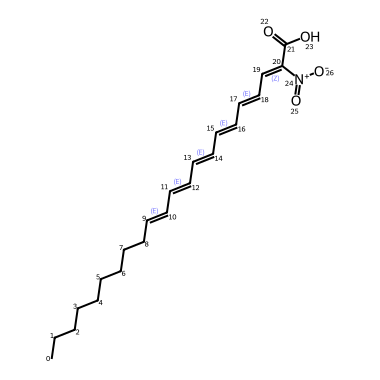 CCCCCCCCC/C=C/C=C/C=C/C=C/C=C/C=C(/C(=O)O)[N+](=O)[O-]